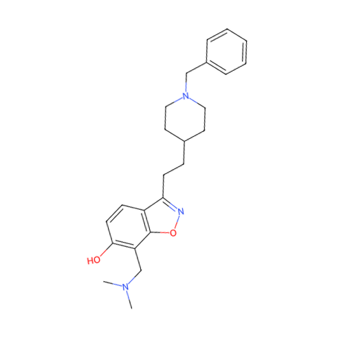 CN(C)Cc1c(O)ccc2c(CCC3CCN(Cc4ccccc4)CC3)noc12